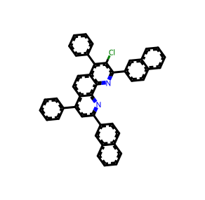 Clc1c(-c2ccc3ccccc3c2)nc2c(ccc3c(-c4ccccc4)cc(-c4ccc5ccccc5c4)nc32)c1-c1ccccc1